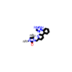 CCCCc1cn(CCC)c(=O)n1Cc1ccc(-c2ccccc2N2N=CNN2)cn1